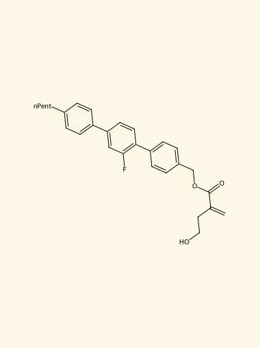 C=C(CCO)C(=O)OCc1ccc(-c2ccc(-c3ccc(CCCCC)cc3)cc2F)cc1